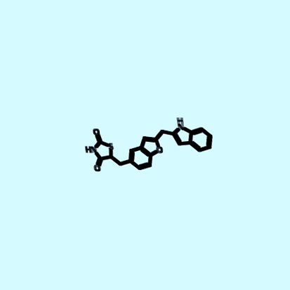 O=C1NC(=O)C(Cc2ccc3oc(Cc4cc5ccccc5[nH]4)cc3c2)S1